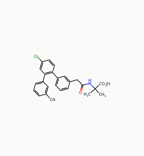 CCOC(=O)C(C)(C)NC(=O)Cc1cccc(-c2ccc(Cl)cc2-c2cccc(C#N)c2)c1